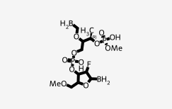 BCOC(COP(=O)(O)OC1C(COC)OC(B)C1F)[C@@H](C)OP(=O)(O)OC